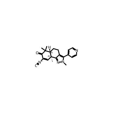 [C-]#[N+]C1=C[C@]2(C)c3nn(C)c(-c4ccncc4)c3CC[C@H]2C(C)(C)C1=O